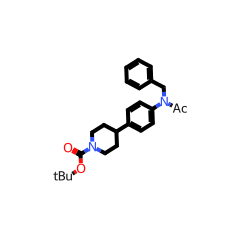 CC(=O)N(Cc1ccccc1)c1ccc(C2CCN(C(=O)OC(C)(C)C)CC2)cc1